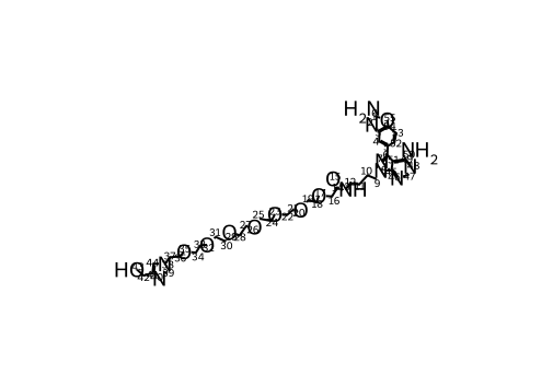 Nc1nc2cc(-c3nn(CCCCNC(=O)COCCOCCOCCOCCOCCOCCOCCn4cnc(CO)c4)c4ncnc(N)c34)ccc2o1